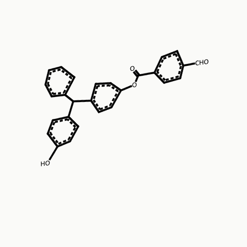 O=Cc1ccc(C(=O)Oc2ccc(C(c3ccccc3)c3ccc(O)cc3)cc2)cc1